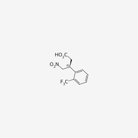 O=C(O)C[C@H](C[N+](=O)[O-])c1ccccc1C(F)(F)F